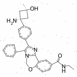 CCNC(=O)c1ccc2c(c1)-c1nc(-c3ccc([C@]4(N)C[C@](C)(O)C4)cc3)c(-c3ccccc3)n1CO2